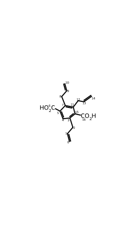 C=CCc1cc(C(=O)O)c(CC=C)c(CC=C)c1C(=O)O